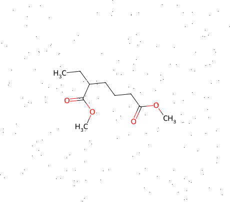 CCC(CCCC(=O)OC)C(=O)OC